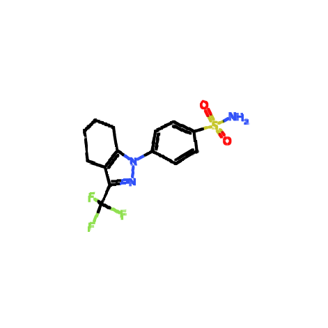 NS(=O)(=O)c1ccc(-n2nc(C(F)(F)F)c3c2CCCC3)cc1